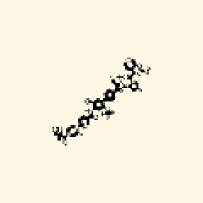 COC(=O)N[C@H](C(=O)N1C[C@@H](C)C[C@H]1c1nc(-c2ccc(-c3cc(Cl)c(NC(=O)c4ccc(N5CCN(C(=O)C(C)(C)CO)C[C@H]5C)nc4)cc3OC(F)(F)F)cc2)c(CO)[nH]1)C1CCOCC1